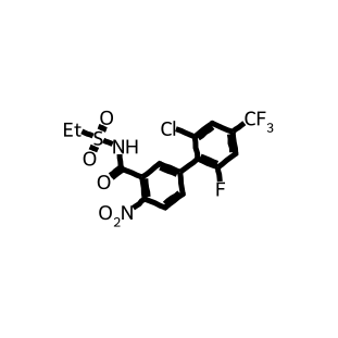 CCS(=O)(=O)NC(=O)c1cc(-c2c(F)cc(C(F)(F)F)cc2Cl)ccc1[N+](=O)[O-]